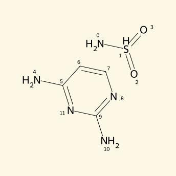 N[SH](=O)=O.Nc1ccnc(N)n1